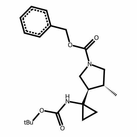 C[C@H]1CN(C(=O)OCc2ccccc2)C[C@@H]1C1(NC(=O)OC(C)(C)C)CC1